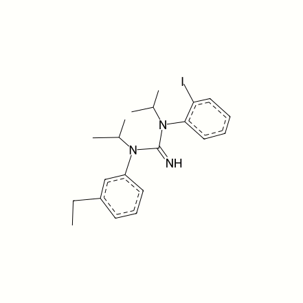 CCc1cccc(N(C(=N)N(c2ccccc2I)C(C)C)C(C)C)c1